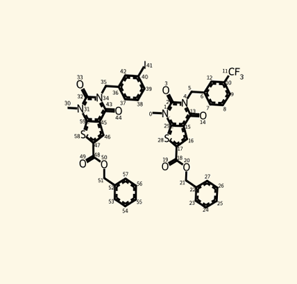 Cn1c(=O)n(Cc2cccc(C(F)(F)F)c2)c(=O)c2cc(C(=O)OCc3ccccc3)sc21.Cn1c(=O)n(Cc2cccc(I)c2)c(=O)c2cc(C(=O)OCc3ccccc3)sc21